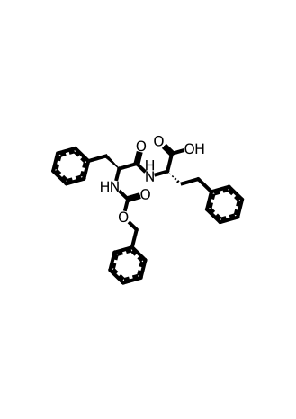 O=C(N[C@@H](Cc1ccccc1)C(=O)N[C@@H](CCc1ccccc1)C(=O)O)OCc1ccccc1